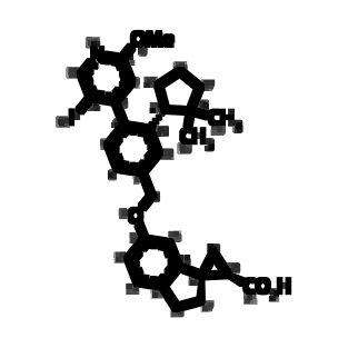 COc1cc(-c2ccc(COc3ccc4c(c3)[C@]3(CC4)C[C@H]3C(=O)O)cc2[C@@H]2CCCC2(C)C)c(F)cn1